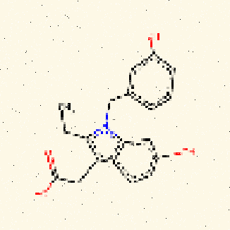 CCc1c(CC(=O)O)c2ccc(O)cc2n1Cc1cccc(O)c1